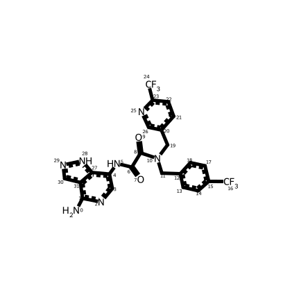 Nc1ncc(NC(=O)C(=O)N(Cc2ccc(C(F)(F)F)cc2)Cc2ccc(C(F)(F)F)nc2)c2[nH]ncc12